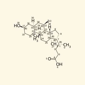 C[C@H](CCC(=O)O)[C@H]1CC[C@H]2[C@@H]3[C@H](I)C[C@@H]4C[C@H](O)CC[C@]4(C)[C@H]3CC[C@]12C